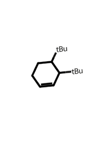 CC(C)(C)C1C=CCCC1C(C)(C)C